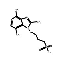 Cc1cnc(N)c2nc(C)n(CCCCS(C)(=O)=O)c12